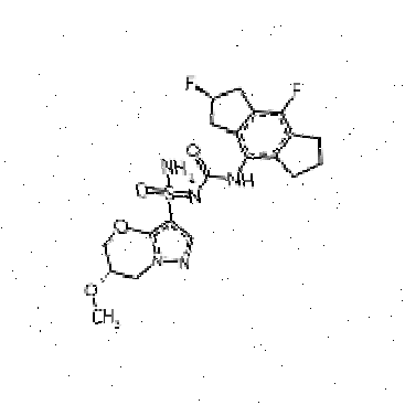 CO[C@@H]1COc2c(S(N)(=O)=NC(=O)Nc3c4c(c(F)c5c3C[C@@H](F)C5)CCC4)cnn2C1